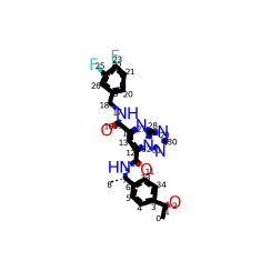 CC(=O)c1ccc([C@H](C)NC(=O)c2cc(C(=O)NCc3ccc(F)c(F)c3)nc3ncnn23)cc1